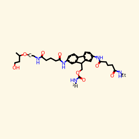 [2H]NC(=O)OCC1c2cc(NC(=O)CCCC(=O)NCC)ccc2-c2ccc(NC(=O)CCCC(=O)NCCOC(C)CCO)cc21